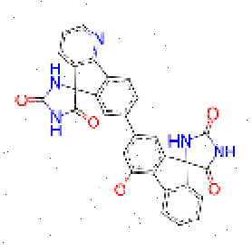 COc1cc(-c2ccc3c(c2)C2(NC(=O)NC2=O)c2cccnc2-3)cc2c1-c1ccccc1C21NC(=O)NC1=O